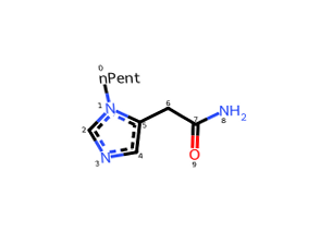 CCCCCn1cncc1CC(N)=O